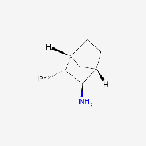 CC(C)[C@@H]1[C@@H]2CC[C@@H](C2)[C@H]1N